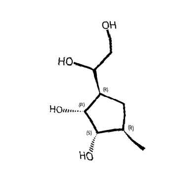 C[C@@H]1C[C@H](C(O)CO)[C@@H](O)[C@H]1O